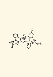 CCOC1(c2ccco2)NC2CC(=O)CC(C(=O)O)=C2N1Cc1ccc(-c2ccccc2-c2noc(=O)[nH]2)cc1